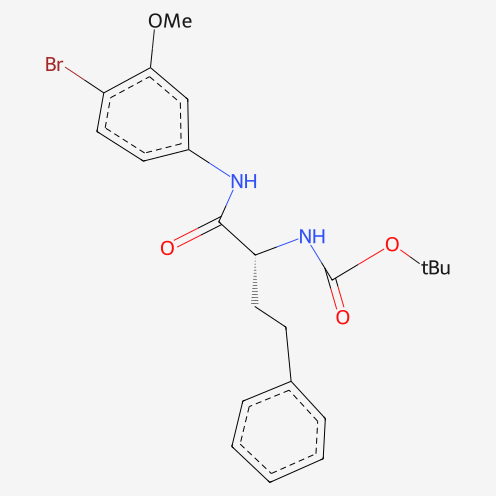 COc1cc(NC(=O)[C@@H](CCc2ccccc2)NC(=O)OC(C)(C)C)ccc1Br